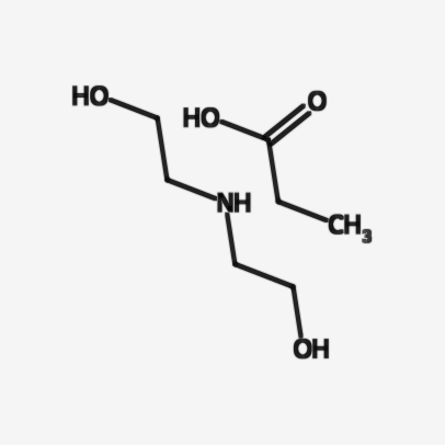 CCC(=O)O.OCCNCCO